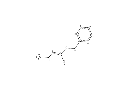 NCC=C(Cl)CCc1ccccc1